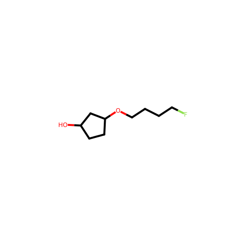 OC1CCC(OCCCCF)C1